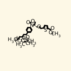 CCCCCC(O[Si](C)(C)C(C)(C)C)c1ccc(N2C(=O)OC[C@@H]2COCc2ccc(C(=O)OC)s2)cc1